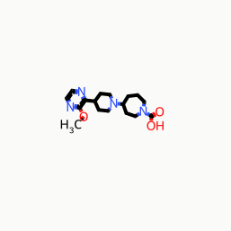 COc1nccnc1C1CCN(C2CCCN(C(=O)O)CC2)CC1